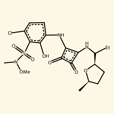 CCC(Nc1c(Nc2ccc(Cl)c(S(=O)(=O)N(C)OC)c2O)c(=O)c1=O)[C@H]1CC[C@@H](C)O1